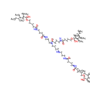 CC(=O)N/C(=C(/OC(C)=O)C(CCOC(C)=O)OC(C)=O)C(O)OCCCCC(=O)NCCCC(=O)NCCCN(CCCCNCCCNC(=O)CCCNC(=O)CCCCOC(O)C(NC(C)=O)C(OC(C)=O)C(CCOC(C)=O)OC(C)=O)C(=O)CCCNC(=O)CCCCOC(O)/C(NC(C)=O)=C(\OC(C)=O)C(CCOC(C)=O)OC(C)=O